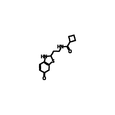 O=C1C=CC2=C(C1)SC(CCNC(=O)C1CCC1)N2